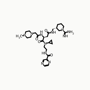 CN1CCN(CC(=O)N[C@@H](CC(=O)NC[C@@H]2CCCN(C(=N)N)C2)C(=O)N(CCNC(=O)c2cnccn2)C2CC2)CC1